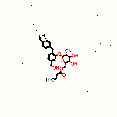 CCCC(=O)OC[C@H]1O[C@H](Oc2cc(CO)ccc2Cc2ccc(CC)cc2)[C@H](O)[C@@H](O)[C@@H]1O